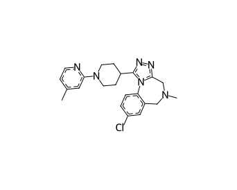 Cc1ccnc(N2CCC(c3nnc4n3-c3ccc(Cl)cc3CN(C)C4)CC2)c1